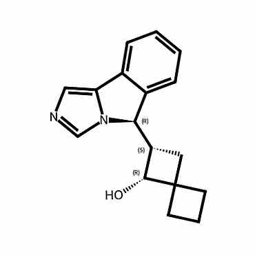 O[C@@H]1[C@H]([C@@H]2c3ccccc3-c3cncn32)CC12CCC2